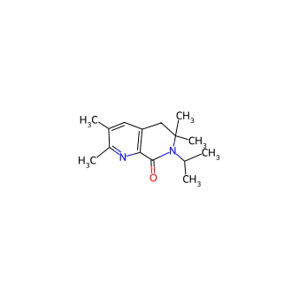 Cc1cc2c(nc1C)C(=O)N(C(C)C)C(C)(C)C2